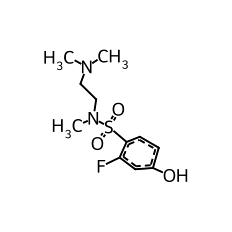 CN(C)CCN(C)S(=O)(=O)c1ccc(O)cc1F